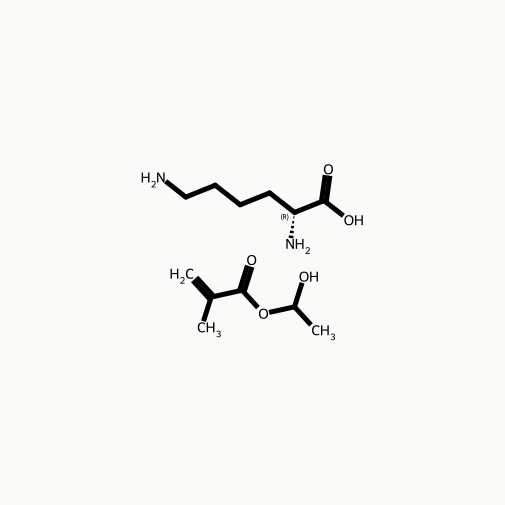 C=C(C)C(=O)OC(C)O.NCCCC[C@@H](N)C(=O)O